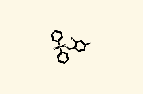 O=P(OCc1ccc(F)cc1F)(c1ccccc1)c1ccccc1